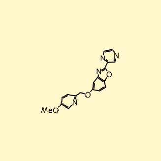 COc1ccc(COc2ccc3oc(-c4cnccn4)nc3c2)nc1